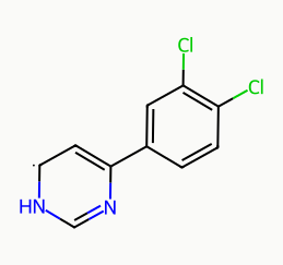 Clc1ccc(C2=C[CH]NC=N2)cc1Cl